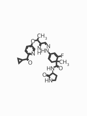 CC(Oc1ccc(C(=O)C2CC2)nc1)C(=N)/C=N\NC1=CCC(C)(C(=O)N[C@H]2CCNC2=O)C(F)=C1